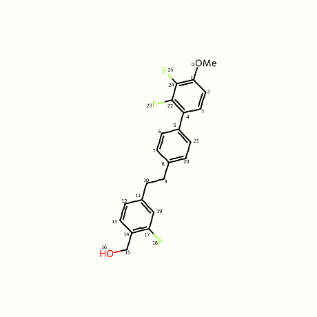 COc1ccc(-c2ccc(CCc3ccc(CO)c(F)c3)cc2)c(F)c1F